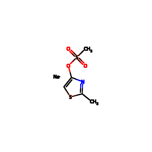 Cc1nc(OS(C)(=O)=O)cs1.[Na]